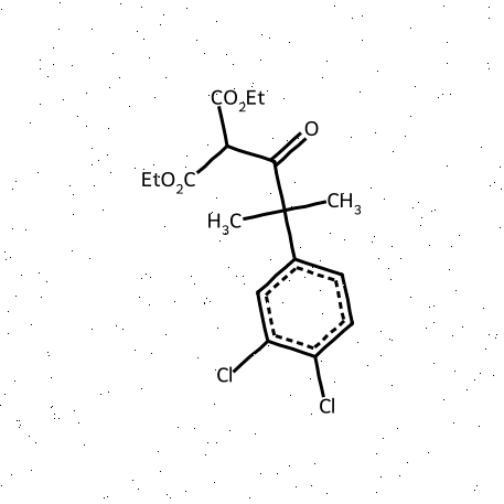 CCOC(=O)C(C(=O)OCC)C(=O)C(C)(C)c1ccc(Cl)c(Cl)c1